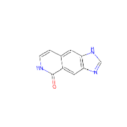 O=c1[nH]ccc2cc3[nH]cnc3cc12